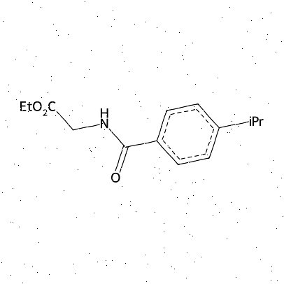 CCOC(=O)CNC(=O)c1ccc(C(C)C)cc1